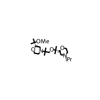 COC(C)(C)[C@@H]1CN(C(C)(C)COC(C)(C)[C@H]2CN(C(C)C)CCO2)CCO1